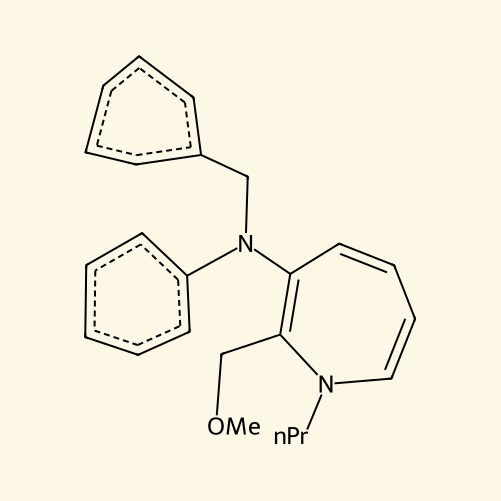 CCCN1C=CC=CC(N(Cc2ccccc2)c2ccccc2)=C1COC